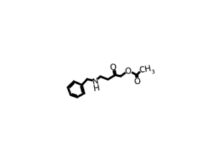 CC(=O)OCC(=O)CCNCc1ccccc1